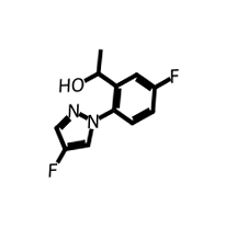 CC(O)c1cc(F)ccc1-n1cc(F)cn1